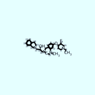 CCN1CCC(Oc2ccc3c(c2)N(C)CCN(C[C@H](O)CN2CCc4ccccc4C2)C3)C(F)C1